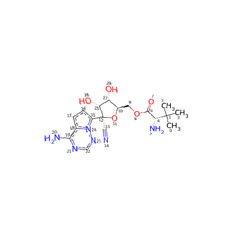 CC(C)(C)[C@H](N)C(=O)OC[C@H]1O[C@@](C#N)(c2ccc3c(N)ncnn23)[C@H](O)[C@@H]1O